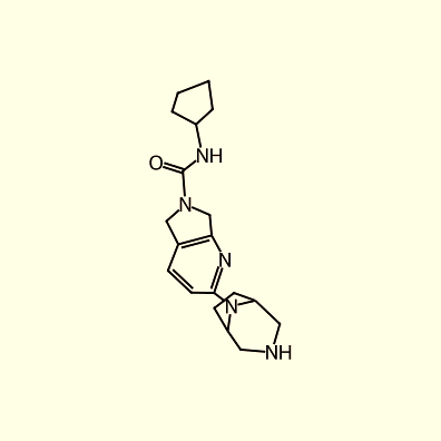 O=C(NC1CCCC1)N1Cc2ccc(N3C4CCC3CNC4)nc2C1